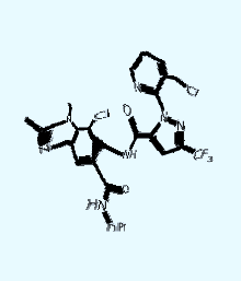 CCCNC(=O)c1cc2nc(C)n(C)c2c(Cl)c1NC(=O)c1cc(C(F)(F)F)nn1-c1ncccc1Cl